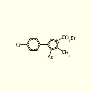 CCOC(=O)n1cc(-c2ccc(Cl)cc2)c(C(C)=O)c1C